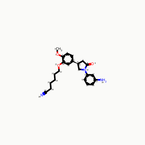 COc1ccc([C@H]2CC(=O)N(c3cccc(N)c3)C2)cc1OCCCCCC#N